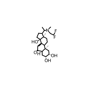 CC(C1CC[C@@]2(O)C3=CC(=O)[C@@H]4C[C@@H](O)[C@@H](O)C[C@]4(C)C3CC[C@]12C)N(C)CC(F)F